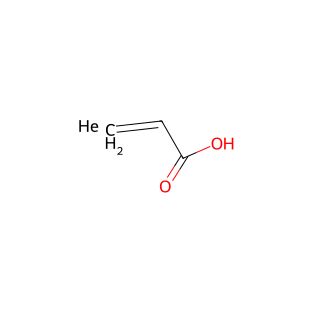 C=CC(=O)O.[He]